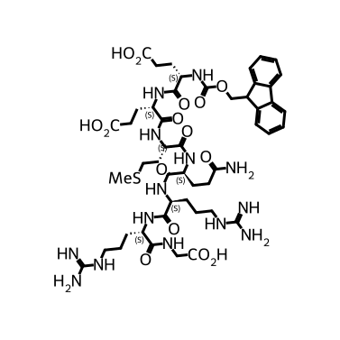 CSCC[C@H](NC(=O)[C@H](CCC(=O)O)NC(=O)[C@H](CCC(=O)O)NC(=O)OCC1c2ccccc2-c2ccccc21)C(=O)N[C@@H](CCC(N)=O)C(=O)N[C@@H](CCCNC(=N)N)C(=O)N[C@@H](CCCNC(=N)N)C(=O)NCC(=O)O